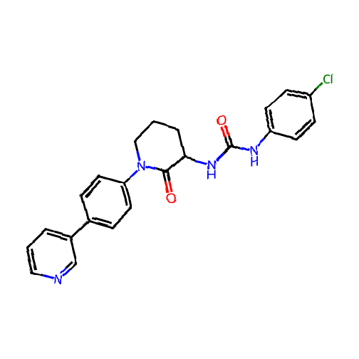 O=C(Nc1ccc(Cl)cc1)NC1CCCN(c2ccc(-c3cccnc3)cc2)C1=O